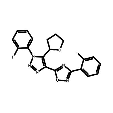 Fc1ccccc1-c1noc(-c2nnn(-c3ccccc3F)c2C2CCCO2)n1